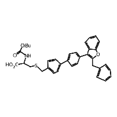 CC(C)COC(=O)N[C@@H](CSCc1ccc(-c2ccc(-c3c(Cc4ccccc4)oc4ccccc34)cc2)cc1)C(=O)O